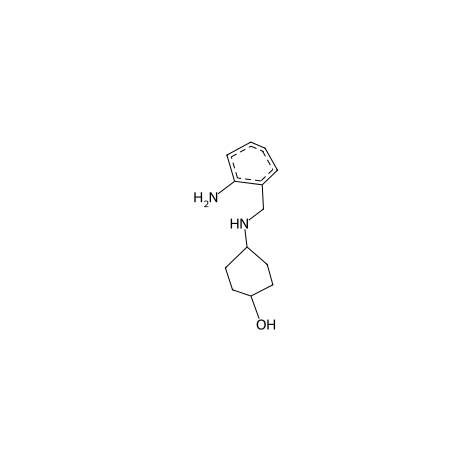 Nc1ccccc1CNC1CCC(O)CC1